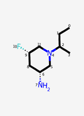 CCC(C)N1C[C@H](N)C[C@H](F)C1